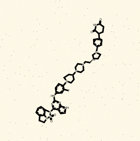 O=C1CCC(c2ccc(N3CC[C@@H](CCN4CCN(C5CCN(c6ccc(Nc7nc(N8c9cccc%10c9N(CC%10)S8(=O)=O)c8cc[nH]c8n7)cc6F)CC5)CC4)C3)cc2)C(=O)N1